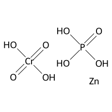 O=P(O)(O)O.[O]=[Cr](=[O])([OH])[OH].[Zn]